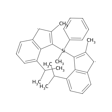 CC1=C([Si](C)(C2=C(C)[CH]c3cccc(C(C)C)c32)c2ccccc2)c2c(cccc2C(C)C)[CH]1